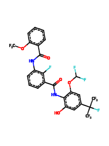 O=C(Nc1cccc(C(=O)Nc2c(O)cc(C(F)(C(F)(F)F)C(F)(F)F)cc2OC(F)F)c1F)c1ccccc1OC(F)(F)F